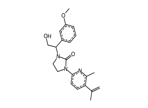 C=C(C)c1ccc(N2CCN(C(CO)c3cccc(OC)c3)C2=O)nc1C